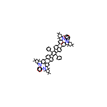 CC1(C)CC2(C)c3cc(-c4ccc5c6c(-c7ccccc7)c7c8ccc(-c9ccc%10c(c9)C9(C)CC(C)(C)CC9(C)N%10c9ccccc9)c9c(-c%10ccc%11c(c%10)C%10(C)CC(C)(C)CC%10(C)N%11c%10ccccc%10)ccc(c7c(-c7ccccc7)c6c6ccc(-c7ccc%10c(c7)C7(C)CC(C)(C)CC7(C)N%10c7ccccc7)c4c56)c98)ccc3N(c3ccccc3)C2(C)C1